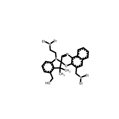 CCN(CC)CCN1c2cccc(CO)c2C(C)(C)C12C=Nc1c(c(CN(CC)CC)cc3ccccc13)O2